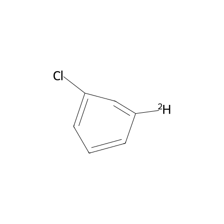 [2H]c1cccc(Cl)c1